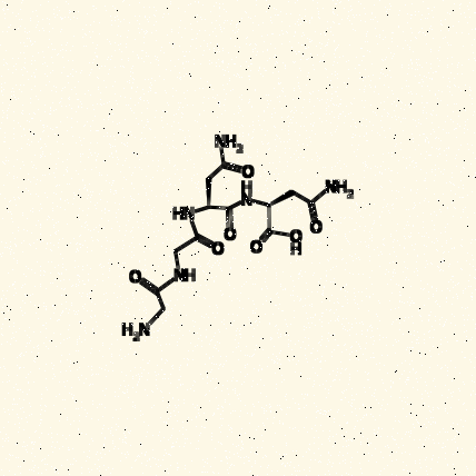 NCC(=O)NCC(=O)N[C@@H](CC(N)=O)C(=O)N[C@@H](CC(N)=O)C(=O)O